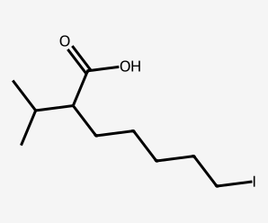 CC(C)C(CCCCCI)C(=O)O